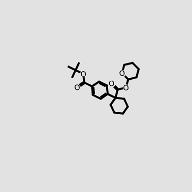 CC(C)(C)OC(=O)c1ccc(C2(C(=O)OC3CCCCO3)CCCCC2)cc1